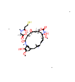 COc1cc2cc(c1O)N(C)C(=O)C[C@H](OC(=O)[C@H](C)N(C)C(=O)CCS)[C@@]1(C)OC1[C@H](C)[C@@H]1C[C@@](O)(NC(=O)O1)[C@H](OC)/C=C/C=C(\C)C2